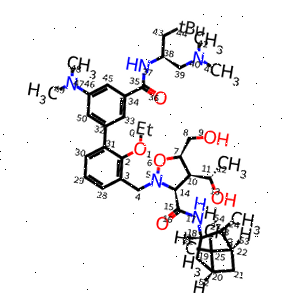 CCOc1c(CN2O[C@@H](CO)[C@@H]([C@H](C)O)[C@H]2C(=O)N[C@H]2C[C@H]3C[C@@H]([C@@H]2C)C3(C)C)cccc1-c1cc(C(=O)N[C@H](CN(C)C)CC(C)(C)C)cc(N(C)C)c1